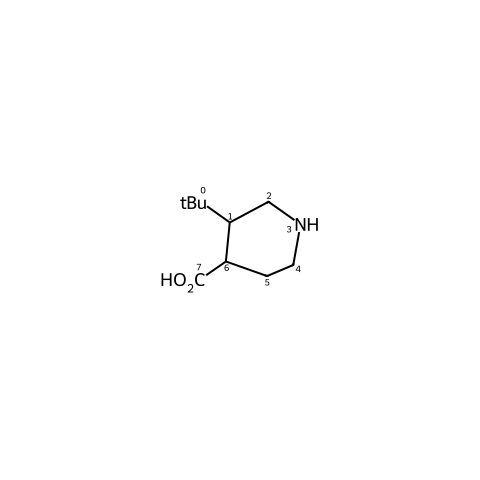 CC(C)(C)C1CNCCC1C(=O)O